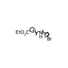 C=C(CNSc1ccc(Br)s1)N1CCCC(C(=O)OCC)C1